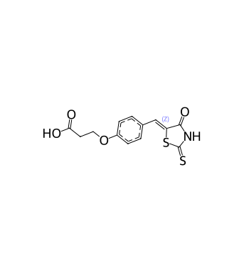 O=C(O)CCOc1ccc(/C=C2\SC(=S)NC2=O)cc1